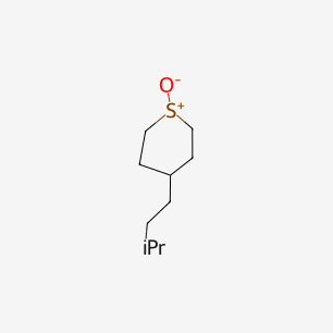 CC(C)CCC1CC[S+]([O-])CC1